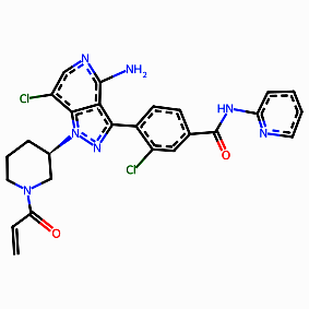 C=CC(=O)N1CCC[C@@H](n2nc(-c3ccc(C(=O)Nc4ccccn4)cc3Cl)c3c(N)ncc(Cl)c32)C1